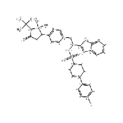 CC(C)(C)N1C(=O)CC(c2ccc(CC(NS(=O)(=O)N3CC=C(c4ccc(F)cc4)CC3)c3nc4ccccc4[nH]3)cc2)S1(O)O